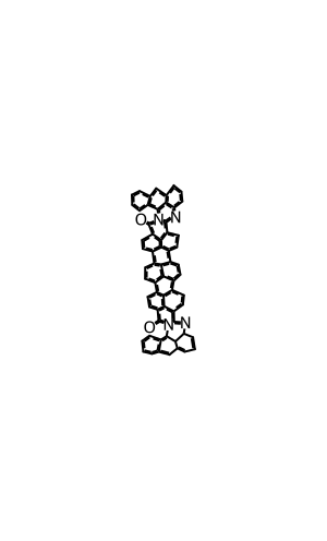 O=c1c2ccc3c4ccc5c6ccc7c(=O)n8c(nc9cccc%10cc%11ccccc%11c8c%109)c8ccc(c9ccc(c%10ccc(c%11n1C1=c%12ccccc%12=CC%12=CC=CC(N=%11)C%121)c2c3%10)c4c59)c6c78